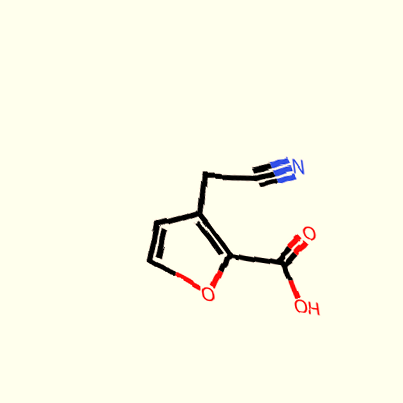 N#CCc1ccoc1C(=O)O